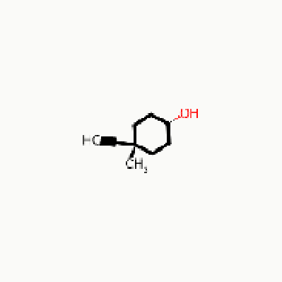 C#C[C@]1(C)CC[C@H](O)CC1